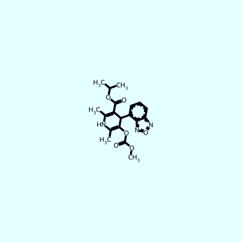 COC(=O)OC1=C(C)NC(C)=C(C(=O)OC(C)C)C1c1cccc2nonc12